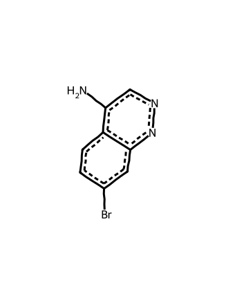 Nc1cnnc2cc(Br)ccc12